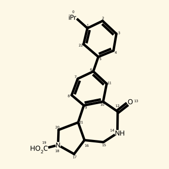 CC(C)c1cccc(-c2ccc3c(c2)C(=O)NCC2CN(C(=O)O)CC32)c1